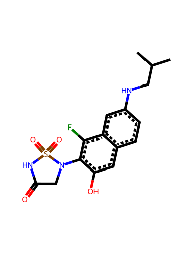 CC(C)CNc1ccc2cc(O)c(N3CC(=O)NS3(=O)=O)c(F)c2c1